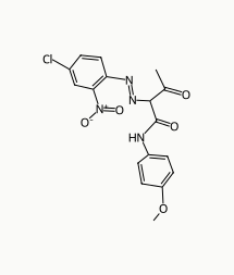 COc1ccc(NC(=O)C(N=Nc2ccc(Cl)cc2[N+](=O)[O-])C(C)=O)cc1